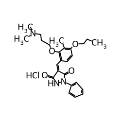 CCCOc1ccc(/C=C2/C(=O)NN(c3ccccc3)C2=O)c(OCCCN(C)C)c1C.Cl